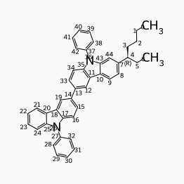 CCCC[C@@H](CC)c1ccc2c3cc(-c4ccc5c(c4)c4ccccc4n5-c4ccccc4)ccc3n(-c3ccccc3)c2c1